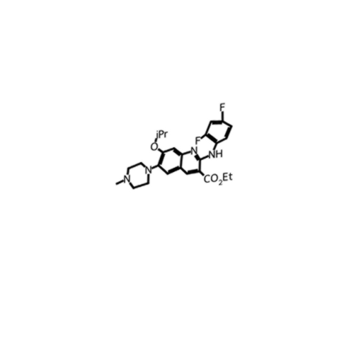 CCOC(=O)c1cc2cc(N3CCN(C)CC3)c(OC(C)C)cc2nc1Nc1ccc(F)cc1F